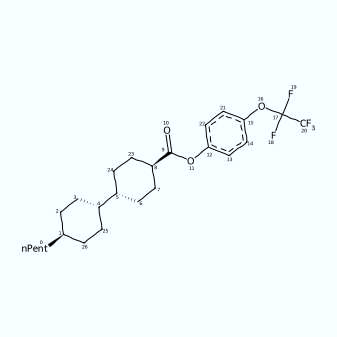 CCCCC[C@H]1CC[C@H]([C@H]2CC[C@H](C(=O)Oc3ccc(OC(F)(F)C(F)(F)F)cc3)CC2)CC1